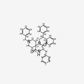 O=C1C(Cc2ccccc2)NC(=O)C2(CCN(Cc3ccccc3)CC2)N1CC(c1ccccc1)c1ccccc1